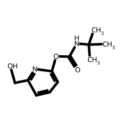 CC(C)(C)NC(=O)Oc1cccc(CO)n1